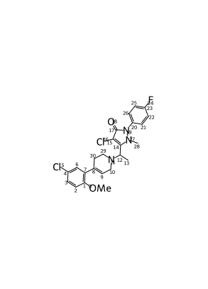 COc1ccc(Cl)cc1C1=CCN(C(C)c2c(Cl)c(=O)n(-c3ccc(F)cc3)n2C)CC1